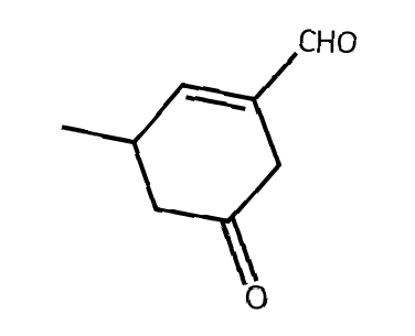 CC1C=C(C=O)CC(=O)C1